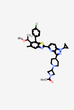 COC(=O)N1CC(N2CCC(c3nn(C4CC4)c4ccc(-c5nc6cc(C)c(C(OC(C)(C)C)C(=O)O)c(-c7ccc(Cl)cc7)c6s5)nc34)CC2)C1